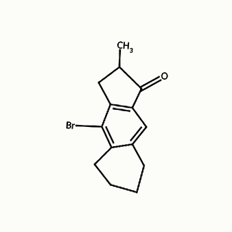 CC1Cc2c(cc3c(c2Br)CCCC3)C1=O